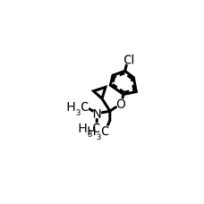 CCC(Oc1ccc(Cl)cc1)(C1CC1)N(C)C